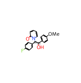 COc1ccc([C@@H](O)[C@H](c2ccc(F)cc2)n2ccccc2=O)cc1